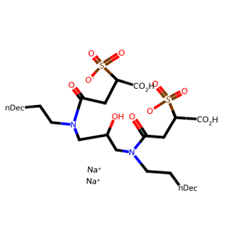 CCCCCCCCCCCCN(CC(O)CN(CCCCCCCCCCCC)C(=O)CC(C(=O)O)S(=O)(=O)[O-])C(=O)CC(C(=O)O)S(=O)(=O)[O-].[Na+].[Na+]